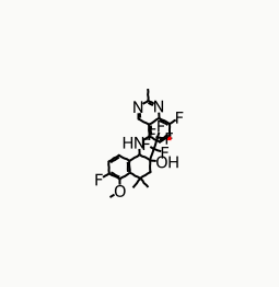 COc1c(F)ccc2c1C(C)(C)CC(O)(C(F)(F)C(F)(F)F)C2Nc1ccc(F)c2nc(C)ncc12